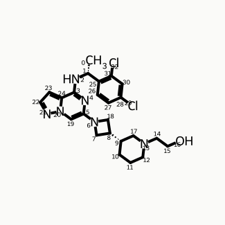 C[C@@H](Nc1nc(N2CC([C@H]3CCCN(CCO)C3)C2)cn2nccc12)c1ccc(Cl)cc1Cl